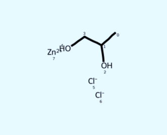 CC(O)CO.[Cl-].[Cl-].[Zn+2]